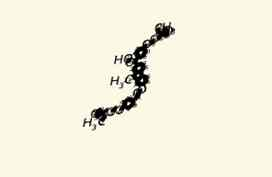 CCC1(COCOc2ccc(COOc3ccc4c(c3)C(C)c3cc(C(OO)c5ccc(OCOCC6(CC)COC6)cc5)ccc3-4)cc2)COC1